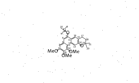 COc1cc(/C=C(/O[Si](C)(C)C)c2ccc3c(c2)CCC(C)(C)O3)cc(OC)c1OC